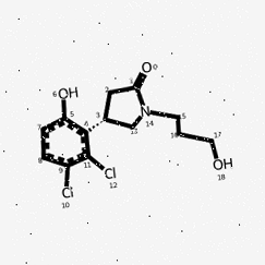 O=C1C[C@@H](c2c(O)ccc(Cl)c2Cl)CN1CCCO